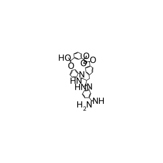 N=C(N)c1ccc2[nH]c(C(Cc3ccc(C(=O)S(=O)(=O)c4cccc(C(=O)O)c4)cc3)c3nc4ccccc4[nH]3)nc2c1